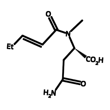 CCC=CC(=O)N(C)[C@@H](CC(N)=O)C(=O)O